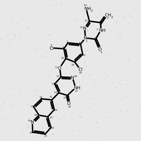 C=C1NC(=O)N(c2cc(Cl)c(Oc3cc(-c4ccc5ncccc5c4)c(=O)[nH]n3)c(Cl)c2)N=C1N